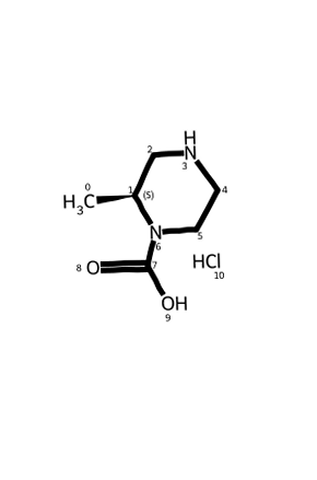 C[C@H]1CNCCN1C(=O)O.Cl